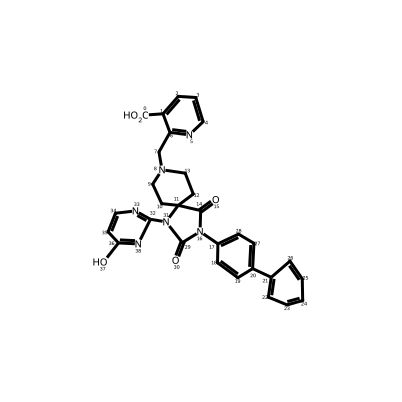 O=C(O)c1cccnc1CN1CCC2(CC1)C(=O)N(c1ccc(-c3ccccc3)cc1)C(=O)N2c1nccc(O)n1